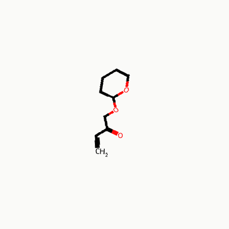 C=CC(=O)COC1CCCCO1